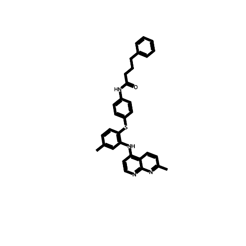 Cc1ccc(Sc2ccc(NC(=O)CCCc3ccccc3)cc2)c(Nc2ccnc3nc(C)ccc23)c1